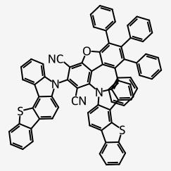 N#Cc1c(-n2c3ccccc3c3c4sc5ccccc5c4ccc32)c(C#N)c2oc3c(-c4ccccc4)c(-c4ccccc4)c(-c4ccccc4)c(-c4ccccc4)c3c2c1-n1c2ccccc2c2c3sc4ccccc4c3ccc21